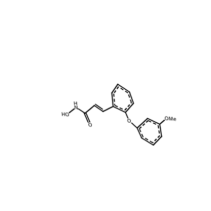 COc1cccc(Oc2ccccc2C=CC(=O)NO)c1